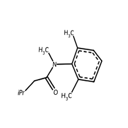 Cc1cccc(C)c1N(C)C(=O)CC(C)C